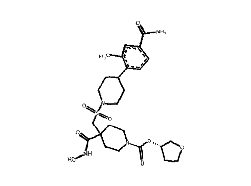 Cc1cc(C(N)=O)ccc1C1CCN(S(=O)(=O)CC2(C(=O)NO)CCN(C(=O)O[C@H]3CCOC3)CC2)CC1